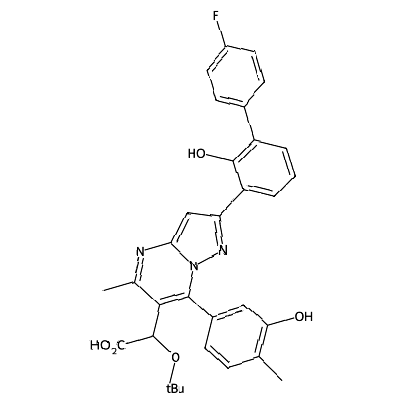 Cc1ccc(-c2c(C(OC(C)(C)C)C(=O)O)c(C)nc3cc(-c4cccc(-c5ccc(F)cc5)c4O)nn23)cc1O